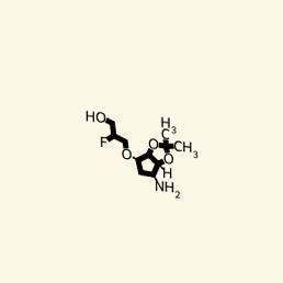 CC1(C)OC2[C@@H](OCC(F)CO)C[C@@H](N)[C@@H]2O1